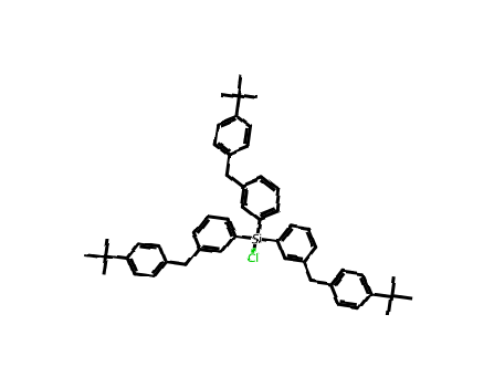 CC(C)(C)c1ccc(Cc2cccc([Si](Cl)(c3cccc(Cc4ccc(C(C)(C)C)cc4)c3)c3cccc(Cc4ccc(C(C)(C)C)cc4)c3)c2)cc1